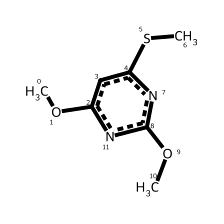 COc1cc(SC)nc(OC)n1